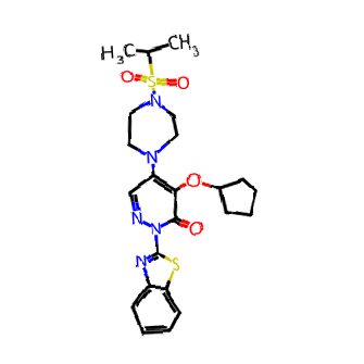 CC(C)S(=O)(=O)N1CCN(c2cnn(-c3nc4ccccc4s3)c(=O)c2OC2CCCC2)CC1